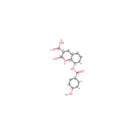 COc1ccc(C(=O)Oc2cccc3cc(C(=O)O)c(=O)oc23)cc1